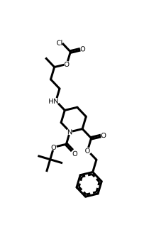 CC(CCNC1CCC(C(=O)OCc2ccccc2)N(C(=O)OC(C)(C)C)C1)OC(=O)Cl